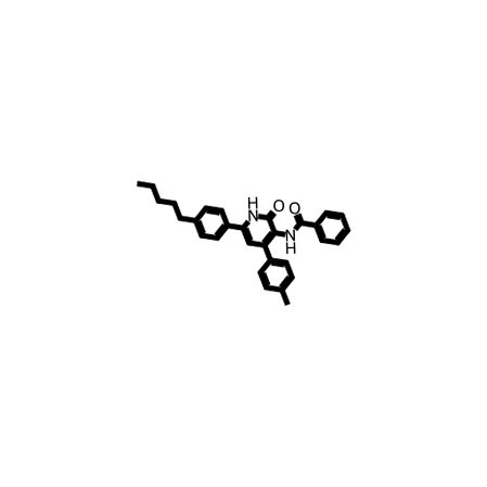 CCCCCc1ccc(-c2cc(-c3ccc(C)cc3)c(NC(=O)c3ccccc3)c(=O)[nH]2)cc1